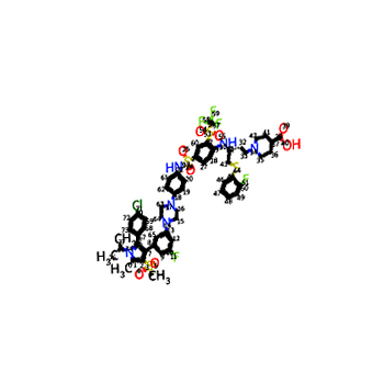 Cc1c(S(C)(=O)=O)c(-c2cc(F)cc(N3CCN(c4ccc(NS(=O)(=O)c5ccc(N[C@H](CCN6CCC(C(=O)O)CC6)CSc6ccccc6F)c(S(=O)(=O)C(F)(F)F)c5)cc4)CC3)c2)c(-c2ccc(Cl)cc2)n1C(C)C